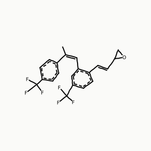 CC(=Cc1cc(C(F)(F)F)ccc1C=CC1CO1)c1ccc(C(F)(F)F)cc1